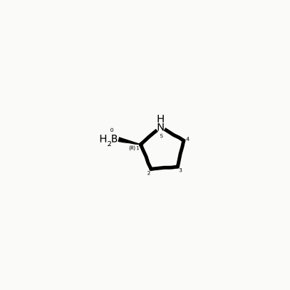 B[C@@H]1CCCN1